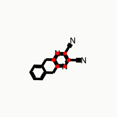 N#Cc1nc2c(nc1C#N)C1c3ccccc3C2c2ccccc21